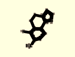 Cc1ccc2c(c1F)CCc1ccsc1-2